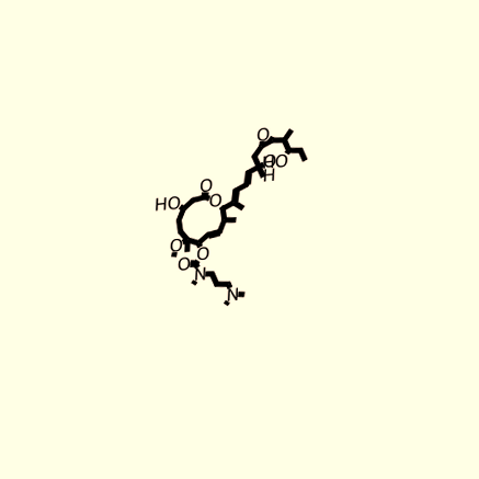 CCC(O)C(C)C1OC1CC(C)(O)/C=C/C=C(\C)C1OC(=O)CC(O)CCC(C)(OC)C(OC(=O)N(C)CCCN(C)C)/C=C/C1C